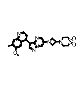 COc1cc2c(-c3cnn4cc(N5CC(N6CCS(=O)(=O)CC6)C5)cnc34)ccnc2cc1C